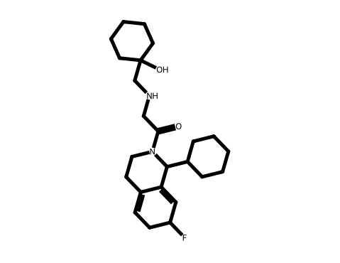 O=C(CNCC1(O)CCCCC1)N1CCC2=CCC(F)C=C2C1C1CCCCC1